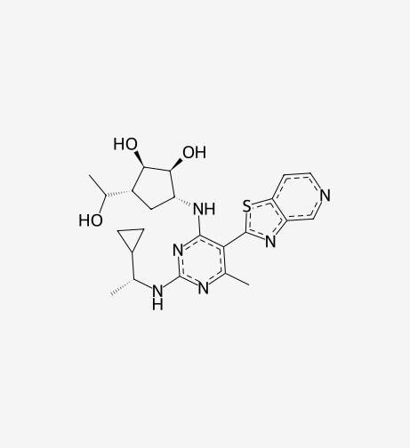 Cc1nc(N[C@H](C)C2CC2)nc(N[C@@H]2C[C@H](C(C)O)[C@@H](O)[C@H]2O)c1-c1nc2cnccc2s1